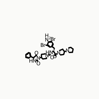 Nc1c(Br)cc(C[C@H](NC(=O)N2CCC(N3C(=O)NC(c4ccccc4)C3=O)CC2)C(=O)N2CCC(N3CCCCC3)CC2)cc1Br